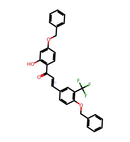 O=C(/C=C/c1ccc(OCc2ccccc2)c(C(F)(F)F)c1)c1ccc(OCc2ccccc2)cc1O